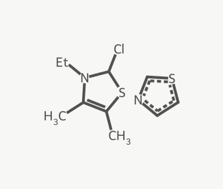 CCN1C(C)=C(C)SC1Cl.c1cscn1